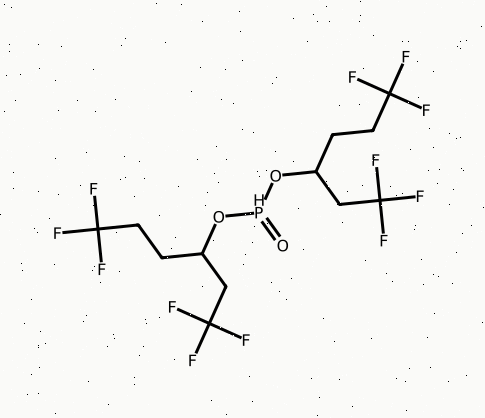 O=[PH](OC(CCC(F)(F)F)CC(F)(F)F)OC(CCC(F)(F)F)CC(F)(F)F